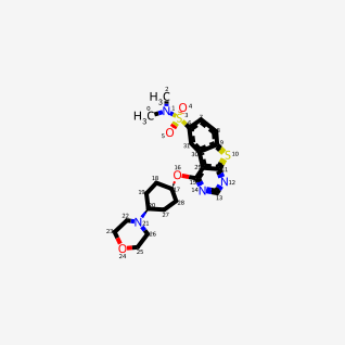 CN(C)S(=O)(=O)c1ccc2sc3ncnc(O[C@H]4CC[C@H](N5CCOCC5)CC4)c3c2c1